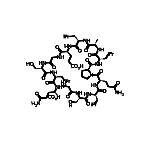 CC(C)C[C@H](NC(=O)[C@H](C)NC(=O)[C@H](CC(C)C)NC(=O)[C@@H]1CCCN1C(=O)[C@H](CCC(N)=O)NC(=O)[C@H](CC(C)C)NC(=O)[C@H](CO)NC(=O)CN)C(=O)N[C@@H](CCC(=O)O)C(=O)NCC(=O)N[C@@H](CO)C(=O)N[C@@H](CC(C)C)C(=O)N[C@@H](CCC(N)=O)C(=O)O